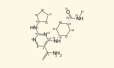 C=C(N)c1cnc(NC2CCCC2)nc1N[C@H]1CC[C@@H](C(=O)NC)CC1